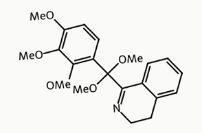 COc1ccc(C(OC)(OC)C2=NCCc3ccccc32)c(OC)c1OC